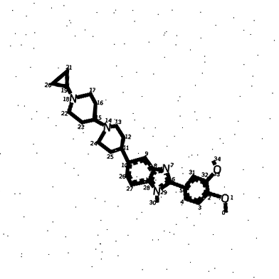 COc1ccc(-c2nc3cc(C4CCN(C5CCN(C6CC6)CC5)CC4)ccc3n2C)cc1OC